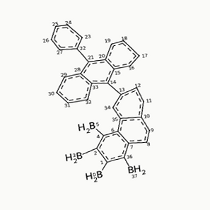 Bc1c(B)c(B)c2c(ccc3ccc(-c4c5ccccc5c(-c5ccccc5)c5ccccc45)cc32)c1B